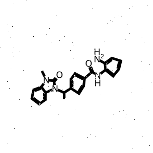 CC(c1ccc(C(=O)Nc2ccccc2N)cc1)n1c(=O)n(C)c2ccccc21